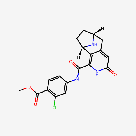 COC(=O)c1ccc(NC(=O)c2[nH]c(=O)cc3c2[C@@H]2CC[C@H](C3)N2)cc1Cl